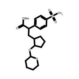 COC(=O)C(CC1CCCC1OC1CCCCO1)c1ccc(S(C)(=O)=O)cc1